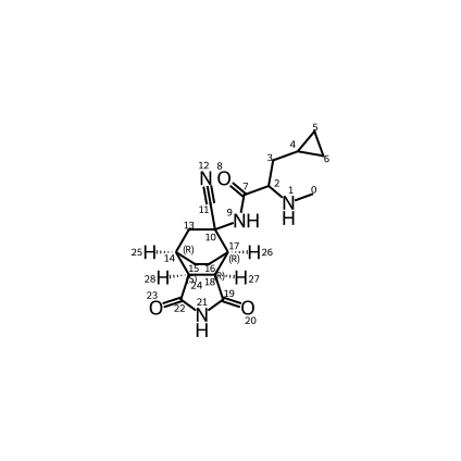 CNC(CC1CC1)C(=O)NC1(C#N)C[C@H]2CC[C@@H]1[C@H]1C(=O)NC(=O)[C@@H]21